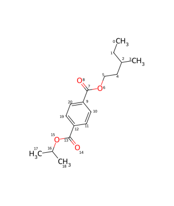 CCC(C)CCOC(=O)c1ccc(C(=O)OC(C)C)cc1